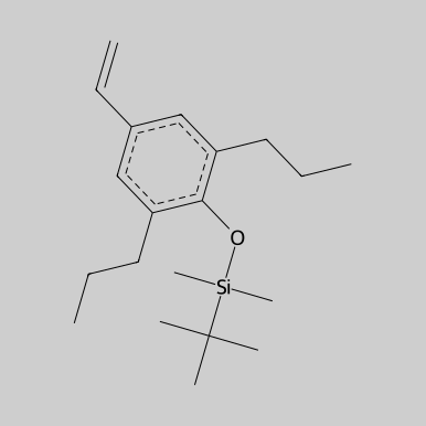 C=Cc1cc(CCC)c(O[Si](C)(C)C(C)(C)C)c(CCC)c1